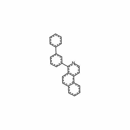 c1ccc(-c2cccc(-c3nccc4c3ccc3ccccc34)c2)cc1